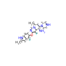 C=C/C=C(\C(N)c1ncnc(Oc2ccc3[nH]c(C)cc3c2F)c1F)N1CCNCC1